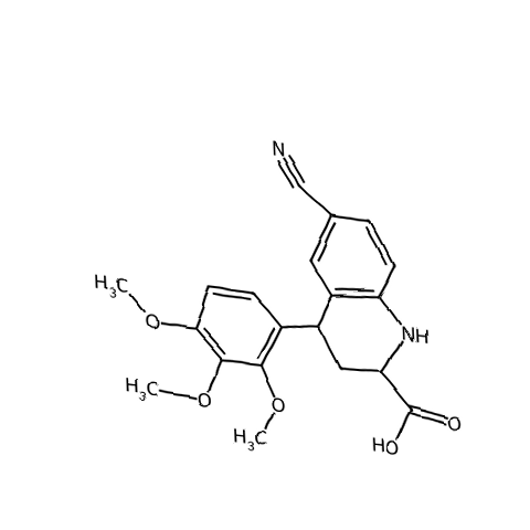 COc1ccc(C2CC(C(=O)O)Nc3ccc(C#N)cc32)c(OC)c1OC